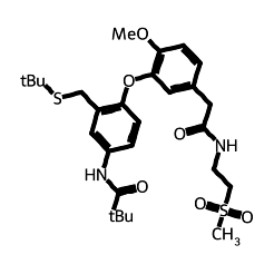 COc1ccc(CC(=O)NCCS(C)(=O)=O)cc1Oc1ccc(NC(=O)C(C)(C)C)cc1CSC(C)(C)C